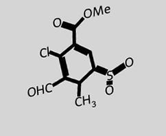 COC(=O)C1=CC(=S(=O)=O)C(C)C(C=O)=C1Cl